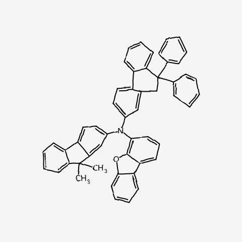 CC1(C)c2ccccc2-c2ccc(N(c3ccc4c(c3)CC(c3ccccc3)(c3ccccc3)c3ccccc3-4)c3cccc4c3oc3ccccc34)cc21